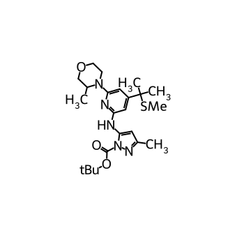 CSC(C)(C)c1cc(Nc2cc(C)nn2C(=O)OC(C)(C)C)nc(N2CCOCC2C)c1